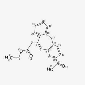 CCOC(=O)CC1=Cc2cc(C(=O)O)ccc2Cc2ccccc21